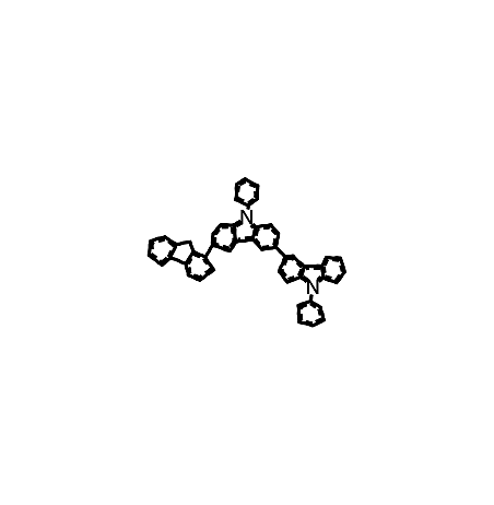 c1ccc(-n2c3ccccc3c3cc(-c4ccc5c(c4)c4cc(-c6cccc7c6Cc6ccccc6-7)ccc4n5-c4ccccc4)ccc32)cc1